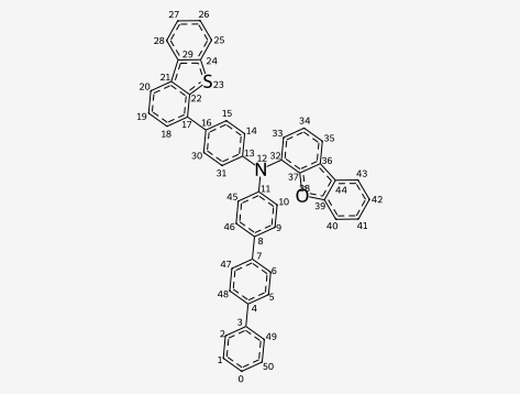 c1ccc(-c2ccc(-c3ccc(N(c4ccc(-c5cccc6c5sc5ccccc56)cc4)c4cccc5c4oc4ccccc45)cc3)cc2)cc1